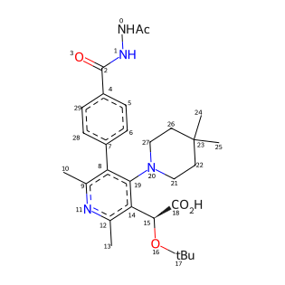 CC(=O)NNC(=O)c1ccc(-c2c(C)nc(C)c([C@H](OC(C)(C)C)C(=O)O)c2N2CCC(C)(C)CC2)cc1